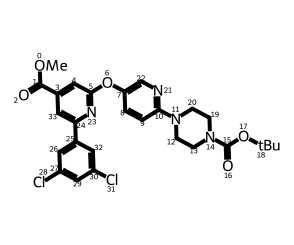 COC(=O)c1cc(Oc2ccc(N3CCN(C(=O)OC(C)(C)C)CC3)nc2)nc(-c2cc(Cl)cc(Cl)c2)c1